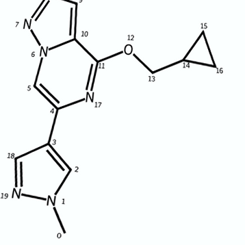 Cn1cc(-c2cn3nccc3c(OCC3CC3)n2)cn1